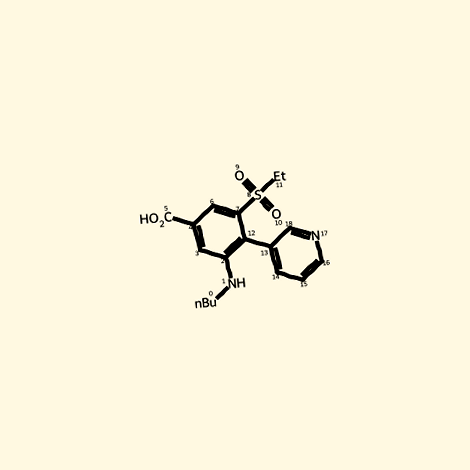 CCCCNc1cc(C(=O)O)cc(S(=O)(=O)CC)c1-c1cccnc1